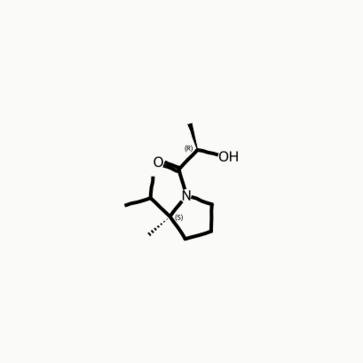 CC(C)[C@]1(C)CCCN1C(=O)[C@@H](C)O